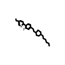 CCCCCCC1CCC(CCc2ccc(-c3ccc(CC)cn3)c(F)c2)CC1